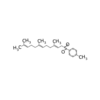 CC(C)=CCC/C(C)=C/CC/C(C)=C/CS(=O)(=O)c1ccc(C)cc1